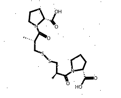 C[C@@H](CSSC[C@H](C)C(=O)N1CCC[C@@H]1C(=O)O)C(=O)N1CCC[C@@H]1C(=O)O